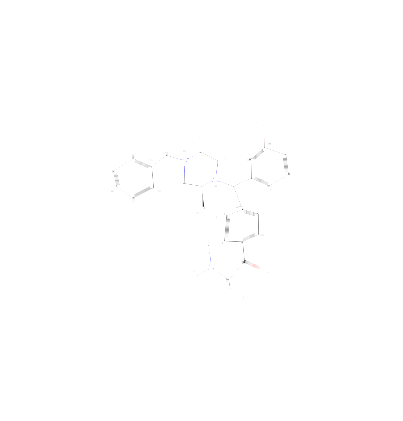 CCN(CC)C(C)C(=O)c1ccc(C(c2cccc(O)c2)N2C[C@@H](C)N(Cc3ccccc3)C[C@@H]2C)cc1